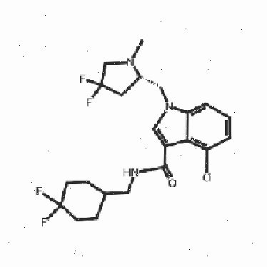 CN1CC(F)(F)C[C@H]1Cn1cc(C(=O)NCC2CCC(F)(F)CC2)c2c(Cl)cccc21